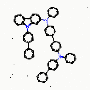 c1ccc(-c2ccc(N(c3ccccc3)c3ccc(-c4ccc(N(c5ccccc5)c5ccc6c7ccccc7n(-c7ccc(-c8ccccc8)cc7)c6c5)cc4)cc3)cc2)cc1